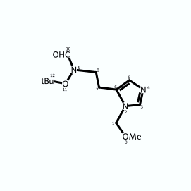 COCn1cncc1CCN(C=O)OC(C)(C)C